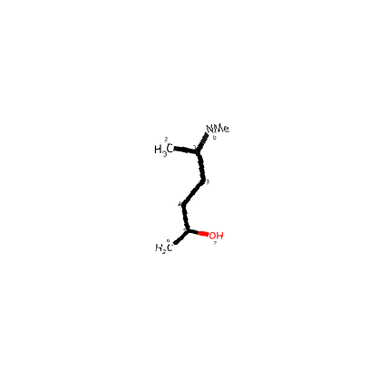 CNC(C)CCC(C)O